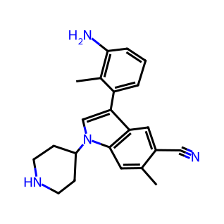 Cc1cc2c(cc1C#N)c(-c1cccc(N)c1C)cn2C1CCNCC1